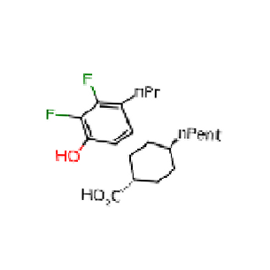 CCCCC[C@H]1CC[C@H](C(=O)O)CC1.CCCc1ccc(O)c(F)c1F